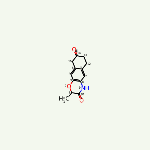 CC1Oc2cc3c(cc2NC1=O)CCC(=O)C3